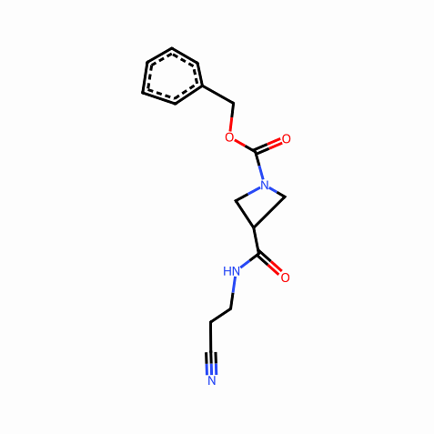 N#CCCNC(=O)C1CN(C(=O)OCc2ccccc2)C1